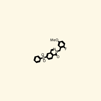 COc1ccc(F)c(Cn2ncc3cc(S(=O)(=O)c4ccccc4)ccc3c2=O)c1